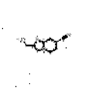 CCc1cn2ccc(C#N)cc2n1